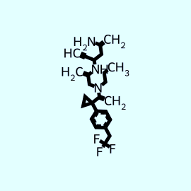 C#CC(CC(=C)N)NC(=C)CN(CCC)C(=C)C1(c2ccc(CC(F)(F)F)cc2)CC1